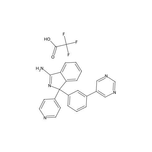 NC1=NC(c2ccncc2)(c2cccc(-c3cncnc3)c2)c2ccccc21.O=C(O)C(F)(F)F